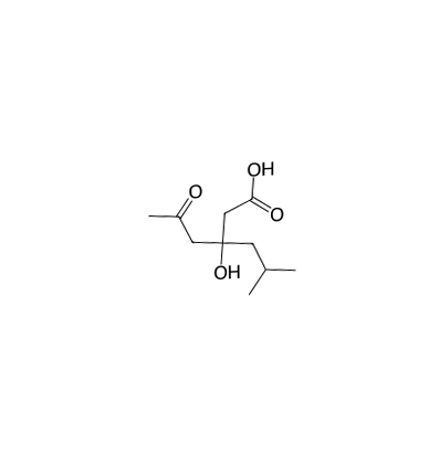 CC(=O)CC(O)(CC(=O)O)CC(C)C